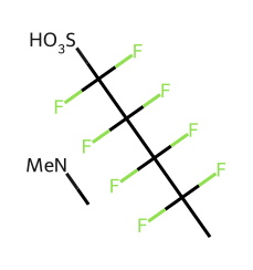 CC(F)(F)C(F)(F)C(F)(F)C(F)(F)S(=O)(=O)O.CNC